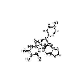 CN1C(=N)N[C@](C)(c2cc(-c3ccc(Cl)nn3)cs2)[C@H](c2ccc3occc3c2)C1=O